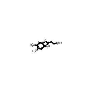 CNCCc1nc2cc(C)c(C)cc2[nH]1